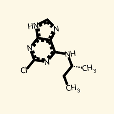 CC[C@@H](C)Nc1nc(Cl)nc2[nH]cnc12